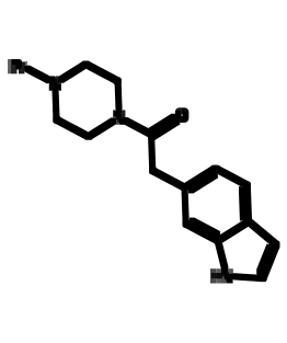 CC(C)N1CCN(C(=O)Cc2ccc3cc[nH]c3c2)CC1